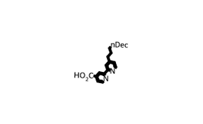 CCCCCCCCCCCCCc1ccnc(-c2cc(C(=O)O)ccn2)c1